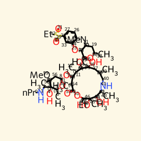 CCCNC[C@]1(O)[C@H](C)O[C@@H](O[C@H]2[C@H](C)[C@@H](O[C@@H]3O[C@H](C)C[C@H](NC)[C@H]3Oc3cccc(S(=O)(=O)CC)c3)[C@](C)(O)C[C@@H](C)CN[C@H](C)[C@@H](O)[C@](C)(O)[C@@H](CC)OC(=O)[C@@H]2C)C[C@@]1(C)OC